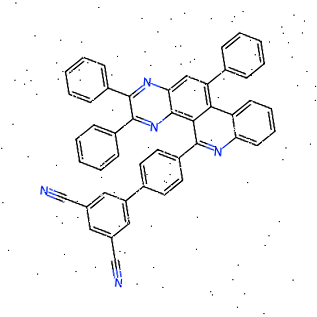 N#Cc1cc(C#N)cc(-c2ccc(-c3nc4ccccc4c4c(-c5ccccc5)cc5nc(-c6ccccc6)c(-c6ccccc6)nc5c34)cc2)c1